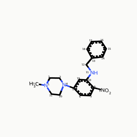 CN1CCN(c2ccc([N+](=O)[O-])c(NCc3ccccc3)c2)CC1